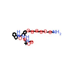 COCC(=O)N[C@H](COCN1Cc2cc(OCCOCCOCCOCCOCCOCCN)ccc2CC1C(=O)NC1CCCc2ccccc21)C(C)(C)C